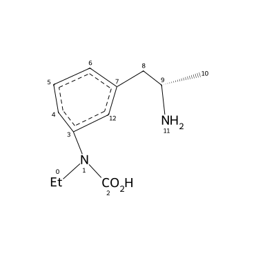 CCN(C(=O)O)c1cccc(C[C@H](C)N)c1